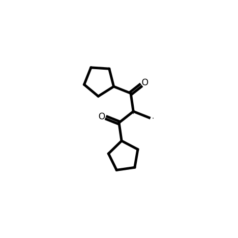 [CH2][C](C(=O)C1CCCC1)C(=O)C1CCCC1